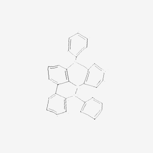 c1ccc(N2B3c4ccncc4N(c4ccccc4)c4cccc(c43)-c3ccccc32)cc1